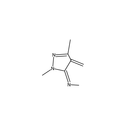 C=C1C(C)=NN(C)/C1=N/C